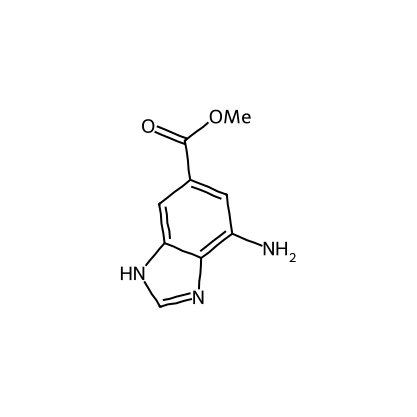 COC(=O)c1cc(N)c2nc[nH]c2c1